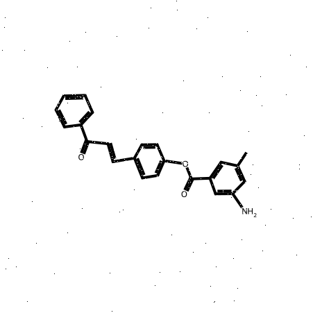 Cc1cc(N)cc(C(=O)Oc2ccc(C=CC(=O)c3ccccc3)cc2)c1